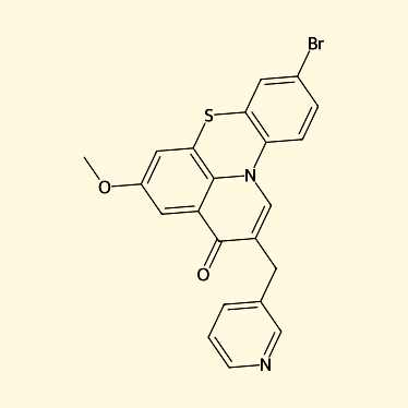 COc1cc2c3c(c1)c(=O)c(Cc1cccnc1)cn3-c1ccc(Br)cc1S2